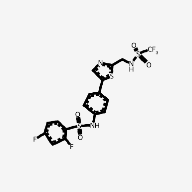 O=S(=O)(Nc1ccc(-c2cnc(CNS(=O)(=O)C(F)(F)F)s2)cc1)c1ccc(F)cc1F